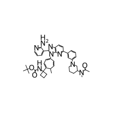 CC(=O)N(C)C1CCCN(c2cccc(-c3ccc4nc(-c5cccnc5N)n(C5=CC=C(C6(NC(=O)OC(C)(C)C)CCC6)C(C)C=C5)c4n3)c2)C1